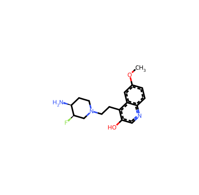 COc1ccc2ncc(O)c(CCN3CC[C@H](N)[C@H](F)C3)c2c1